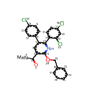 CNC(=O)c1cc(-c2ccc(Cl)cc2)c(-c2ccc(Cl)cc2Cl)nc1OCc1ccccc1